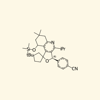 CC(C)c1nc2c(c3c1[C@@H](c1ccc(C#N)cc1)OC31CCCC1)C(O[Si](C)(C)C(C)(C)C)CC(C)(C)C2